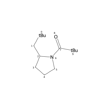 CC(C)(C)CC1CCCN1C(=O)C(C)(C)C